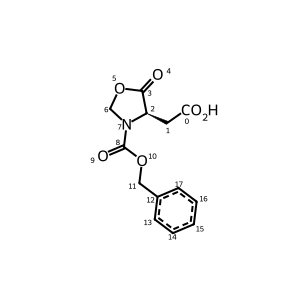 O=C(O)C[C@@H]1C(=O)OCN1C(=O)OCc1ccccc1